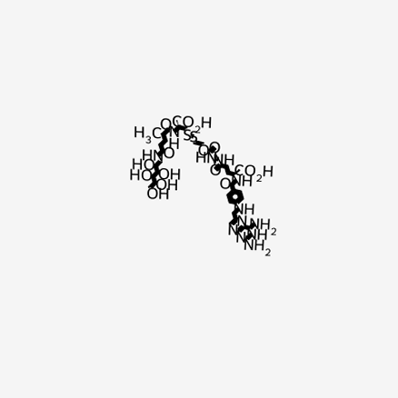 C[C@@H](CCC(=O)NC[C@H](O)[C@@H](O)[C@H](O)[C@H](O)CO)C(=O)N[C@@H](CSSCCOC(=O)NNC(=O)CC[C@H](NC(=O)c1ccc(NCc2cnc3c(n2)C(N)NC(N)=N3)cc1)C(=O)O)C(=O)O